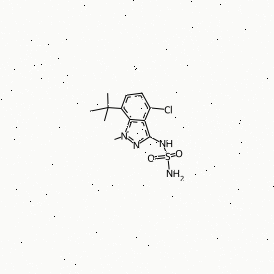 Cn1nc(NS(N)(=O)=O)c2c(Cl)ccc(C(C)(C)C)c21